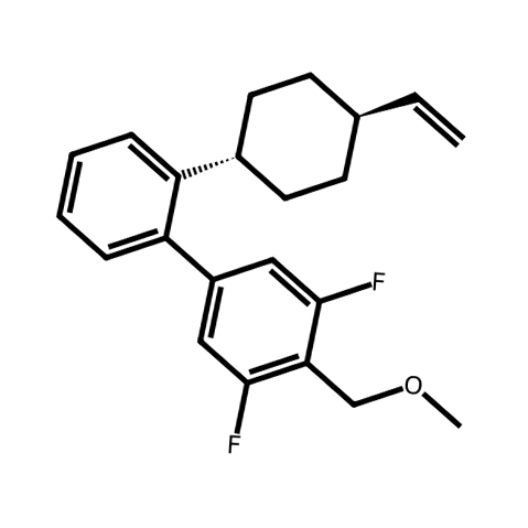 C=C[C@H]1CC[C@H](c2ccccc2-c2cc(F)c(COC)c(F)c2)CC1